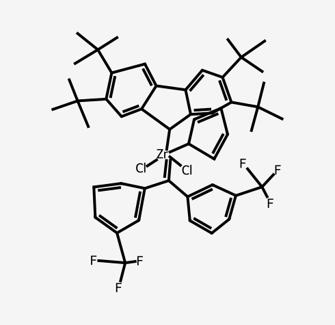 CC(C)(C)c1cc2c(cc1C(C)(C)C)[CH]([Zr]([Cl])([Cl])(=[C](c1cccc(C(F)(F)F)c1)c1cccc(C(F)(F)F)c1)[CH]1C=CC=C1)c1cc(C(C)(C)C)c(C(C)(C)C)cc1-2